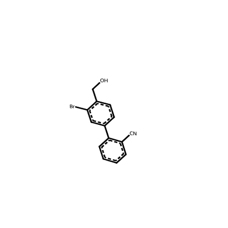 N#Cc1ccccc1-c1ccc(CO)c(Br)c1